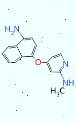 CNc1cc(Oc2ccc(N)c3ccccc23)ccn1